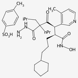 CCCC(CC(C)C)(C(=O)NN)C(=O)[C@@H](c1cnccc1C)[C@H](CCCC1CCCCC1)C(=O)NO.Cc1ccc(S(=O)(=O)O)cc1